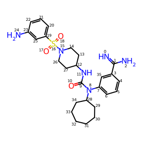 N=C(N)c1cccc(N(C(=O)NC2CCN(S(=O)(=O)c3cccc(N)c3)CC2)C2CCCCCC2)c1